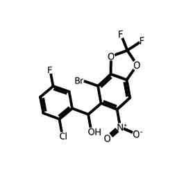 O=[N+]([O-])c1cc2c(c(Br)c1C(O)c1cc(F)ccc1Cl)OC(F)(F)O2